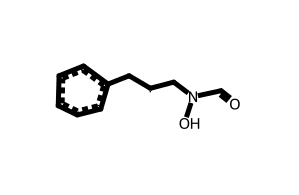 O=CN(O)C[CH]Cc1ccccc1